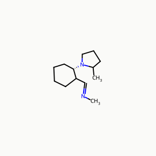 C/N=C/C1CCCC[C@@H]1N1CCCC1C